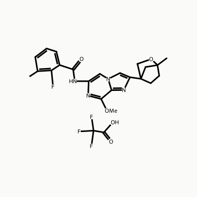 COc1nc(NC(=O)c2cccc(C)c2F)cn2cc(C34CCC(C)(C3)OC4)nc12.O=C(O)C(F)(F)F